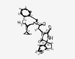 CC(C1CC1)N(Cc1ccccc1)C(=O)CN1C(=O)NC2(CCc3sccc32)C1=O